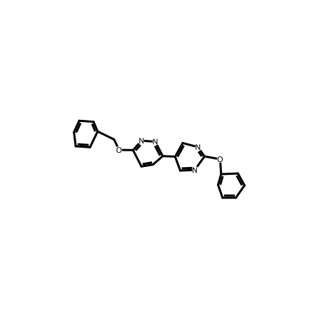 c1ccc(COc2ccc(-c3cnc(Oc4ccccc4)nc3)nn2)cc1